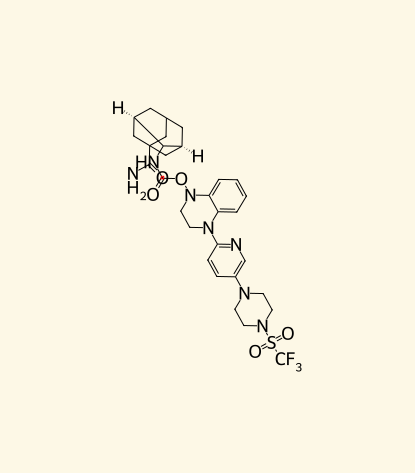 NC(=O)C12CC3C[C@H](C1)C(NC(=O)ON1CCN(c4ccc(N5CCN(S(=O)(=O)C(F)(F)F)CC5)cn4)c4ccccc41)[C@@H](C3)C2